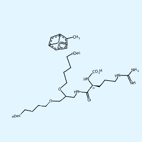 CCCCCCCCCCCCCCOCC(CNC(=O)[C@H](CCCNC(=N)N)NC(=O)O)OCCCCCCCCCCCCCC.Cc1ccc2cc1S2(=O)=O